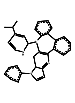 CC(C)C1=CC(N2C3=C(N=C4C=CN(c5ccccc5)C4C3)c3ccccc3-c3ccccc32)NC=C1